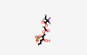 CCC1C(O)C(COC(=O)COC(=O)C(C)(I)CC)OS1(=O)=O